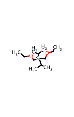 CCOC[Si](COCC)(C(C)C)C(C)C